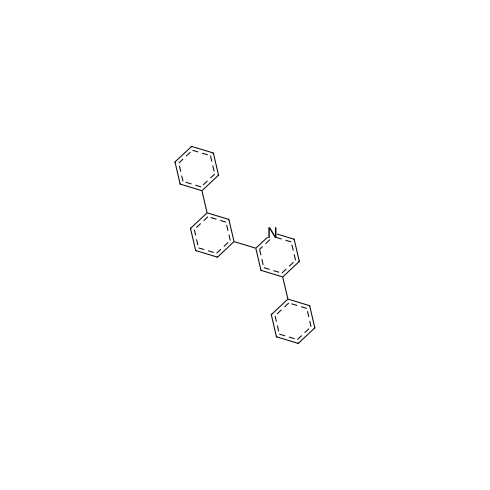 c1ccc(-c2cccc(-c3cc(-c4ccccc4)ccn3)c2)cc1